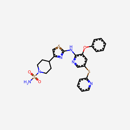 NS(=O)(=O)N1CCC(c2csc(Nc3ncc(Sc4ccccn4)cc3Oc3ccccc3)n2)CC1